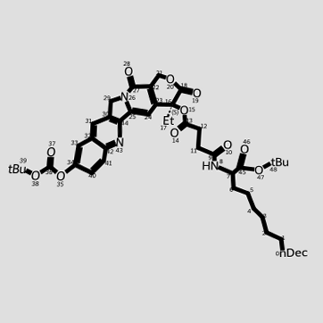 CCCCCCCCCCCCCCCCC(NC(=O)CCC(=O)O[C@]1(CC)C(=O)OCc2c1cc1n(c2=O)Cc2cc3cc(OC(=O)OC(C)(C)C)ccc3nc2-1)C(=O)OC(C)(C)C